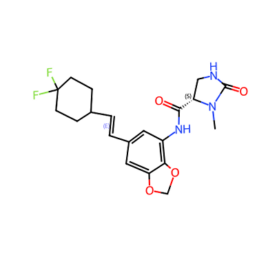 CN1C(=O)NC[C@H]1C(=O)Nc1cc(/C=C/C2CCC(F)(F)CC2)cc2c1OCO2